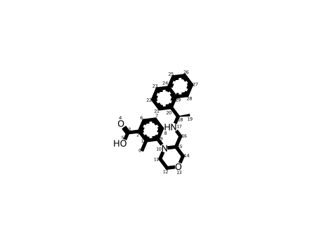 Cc1c(C(=O)O)cccc1N1CCOCC1CN[C@H](C)c1cccc2ccccc12